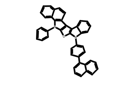 c1ccc(-n2c3oc4c(c5ccccc5n4-c4ccc(-c5cccc6ccccc56)cc4)c3c3ccc4ccccc4c32)cc1